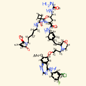 COc1cc2ncnc(Nc3ccc(F)c(Cl)c3)c2cc1OCCCN1CCOCC1Cc1ccc(NC(=O)[C@H](CCCNC(N)=O)NC(=O)C2(C(=O)NCCCCCN3C(=O)C=CC3=O)CCC2)cc1